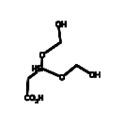 O=C(O)C[SiH](OCO)OCO